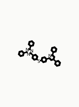 c1ccc(-c2cc(-c3ccccc3)nc(-c3ccc(Sc4ccc(-c5nc(-c6ccccc6)nc(-c6ccccc6)n5)cc4)cc3)c2)cc1